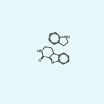 O=C1NCCC2C1=Nc1ccccc12.c1ccc2c(c1)CCN2